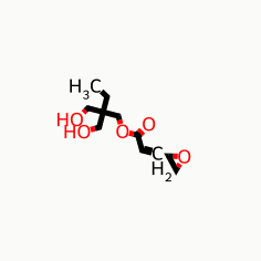 C1CO1.C=CC(=O)OCC(CC)(CO)CO